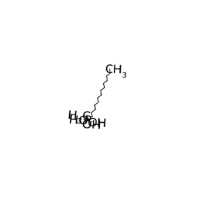 CCCCCCCCCCCCCCP(C)(O)(O)O